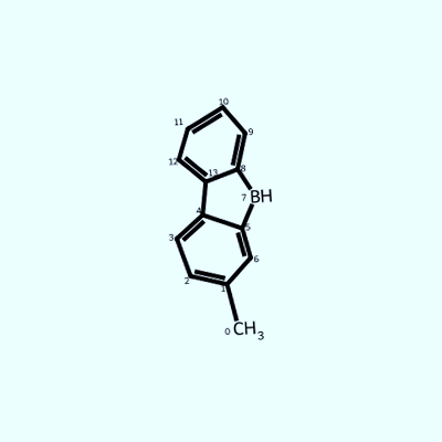 Cc1ccc2c(c1)Bc1ccccc1-2